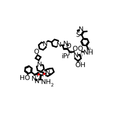 Cc1ncsc1-c1ccc([C@H](C)NC(=O)[C@@H]2C[C@@H](O)CN2C(=O)[C@@H](c2cc(N3CCC(CN4CCC(O[C@H]5C[C@H](N6CCC(F)(CN7C8CCC7CN(c7cc(-c9ccccc9O)nnc7N)C8)CC6)C5)CC4)CC3)no2)C(C)C)cc1